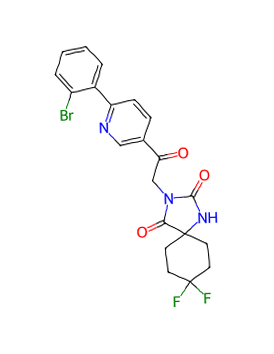 O=C(CN1C(=O)NC2(CCC(F)(F)CC2)C1=O)c1ccc(-c2ccccc2Br)nc1